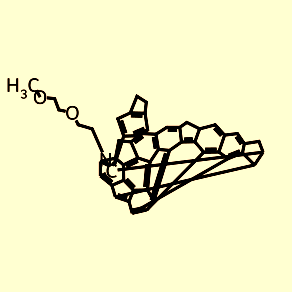 COCCOCCN1CC2C3=c4c5c6c7c4c4c8c(cc9cc%10c%11c%12c%13c%14c(cc%15c(c%14c6c%13c6c%11c9c8c76)C5C(C3)C%15)=CC%12C%10)CC42C1c1ccc2c(c1)CC2